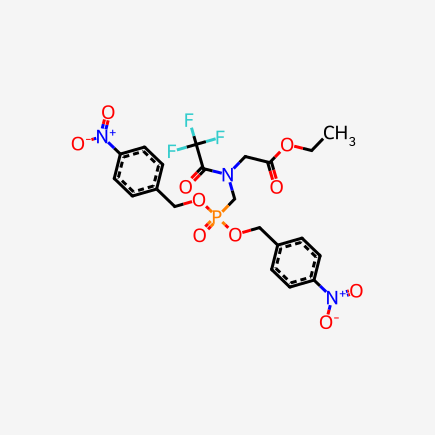 CCOC(=O)CN(CP(=O)(OCc1ccc([N+](=O)[O-])cc1)OCc1ccc([N+](=O)[O-])cc1)C(=O)C(F)(F)F